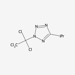 CC(C)c1nnn(C(Cl)(Cl)C(Cl)(Cl)Cl)n1